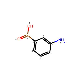 Nc1cccc(S(=O)O)c1